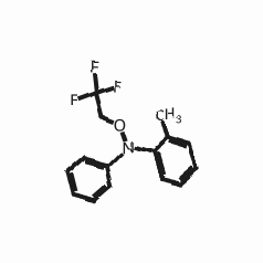 Cc1ccccc1N(OCC(F)(F)F)c1ccccc1